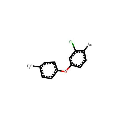 CC(=O)c1ccc(Oc2ccc(C(F)(F)F)cc2)cc1Cl